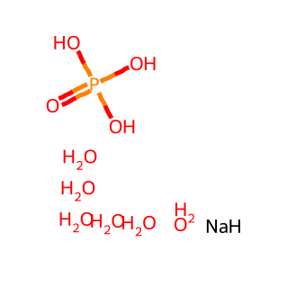 O.O.O.O.O.O.O=P(O)(O)O.[NaH]